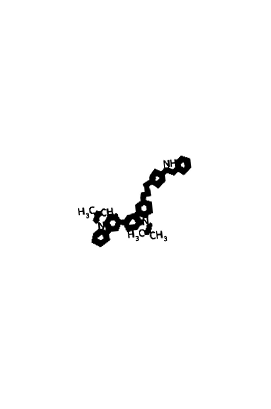 CC(C)Cn1c2c(c3cc(C4C=Cc5c(c6ccccc6n5CC(C)C)C4)ccc31)CC(CCCc1ccc(C(N)Cc3ccccc3)cc1)C=C2